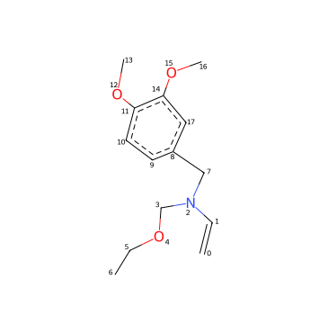 C=CN(COCC)Cc1ccc(OC)c(OC)c1